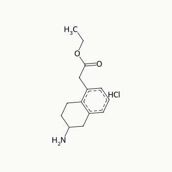 CCOC(=O)Cc1cccc2c1CCC(N)C2.Cl